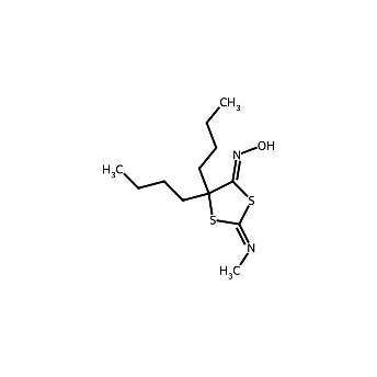 CCCCC1(CCCC)SC(=NC)SC1=NO